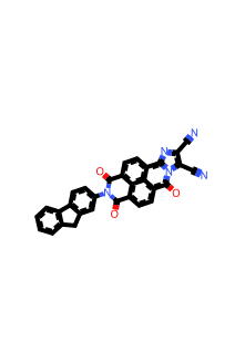 N#Cc1nc2c3ccc4c5c(ccc(c(=O)n2c1C#N)c53)C(=O)N(c1ccc2c(c1)Cc1ccccc1-2)C4=O